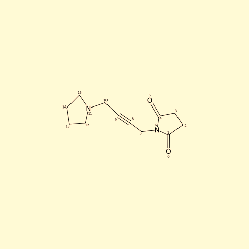 O=C1CCC(=O)N1CC#CCN1CCCC1